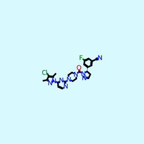 Cc1nn(-c2ccnc(N3CCN(C(=O)N4N=CC[C@H]4c4cc(F)cc(C#N)c4)CC3)n2)c(C)c1Cl